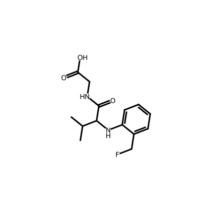 CC(C)C(Nc1ccccc1CF)C(=O)NCC(=O)O